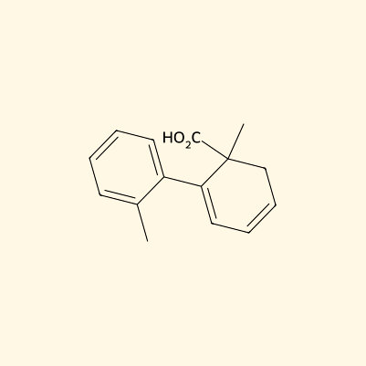 Cc1ccccc1C1=CC=CCC1(C)C(=O)O